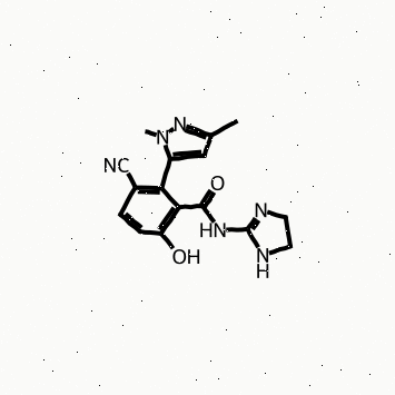 Cc1cc(-c2c(C#N)ccc(O)c2C(=O)NC2=NCCN2)n(C)n1